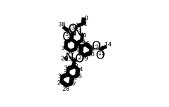 C=CCN1CCC2(c3cccc(OC(C)=O)c3)CC(N(C)C(=O)c3ccc4ccccc4c3)CCC2(OC(C)=O)C1